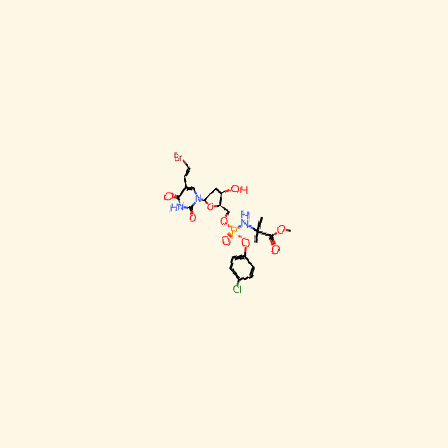 COC(=O)C(C)(C)NP(=O)(OC[C@H]1O[C@@H](n2cc(/C=C/Br)c(=O)[nH]c2=O)CC1O)Oc1ccc(Cl)cc1